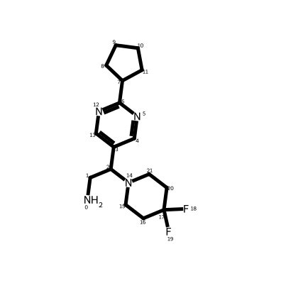 NCC(c1cnc(C2CCCC2)nc1)N1CCC(F)(F)CC1